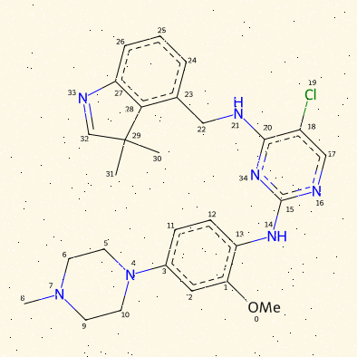 COc1cc(N2CCN(C)CC2)ccc1Nc1ncc(Cl)c(NCc2cccc3c2C(C)(C)C=N3)n1